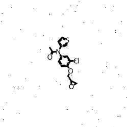 CC(=O)N(c1ccsc1)c1ccc(OCC2CO2)c(Cl)c1